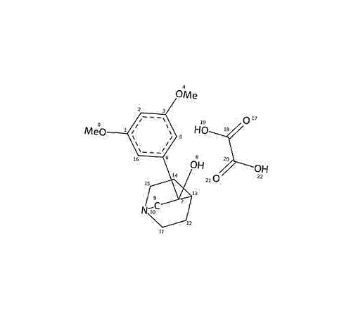 COc1cc(OC)cc(C2(O)CN3CCC2CC3)c1.O=C(O)C(=O)O